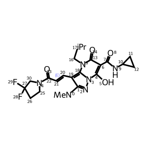 CNc1nn2c(O)c(C(=O)NC3CC3)c(=O)n(CC(C)C)c2c1/C=C/C(=O)N1CCC(F)(F)C1